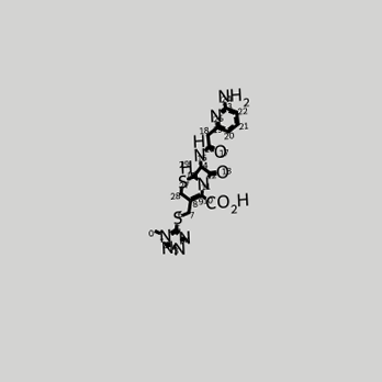 Cn1nnnc1SCC1=C(C(=O)O)N2C(=O)C(NC(=O)Cc3cccc(N)n3)[C@@H]2SC1